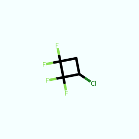 FC1(F)CC(Cl)C1(F)F